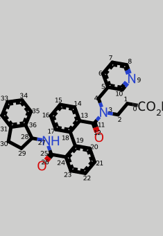 O=C(O)CCN(Cc1cccnc1)C(=O)c1ccccc1-c1ccccc1C(=O)NC1CCc2ccccc21